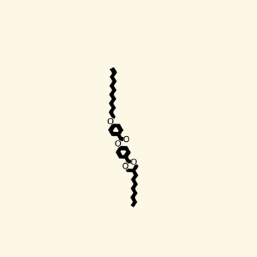 C=CCCCCCCCCCCOc1ccc(C(=O)Oc2ccc(C3OCC(CCCCCCCC)CO3)cc2)cc1